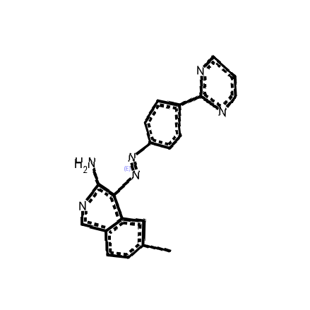 Cc1ccc2cnc(N)c(/N=N/c3ccc(-c4ncccn4)cc3)c2c1